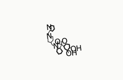 O=C1N(CC2CCN(Cc3ccccn3)CC2)c2ccccc2C12COc1cc(O)c(O)cc12